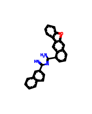 N=C(/N=C(\N)c1cccc2cc3oc4ccccc4c3cc12)c1ccc2ccccc2c1